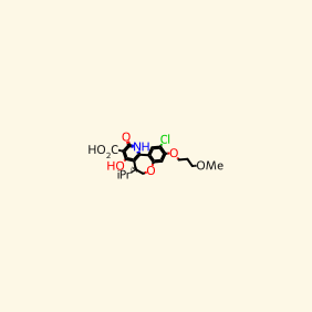 COCCCOc1cc2c(cc1Cl)-c1[nH]c(=O)c(C(=O)O)c(O)c1[C@H](C(C)C)CO2